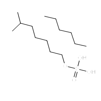 CC(C)CCCCCOP(=O)(O)O.CCCCCC